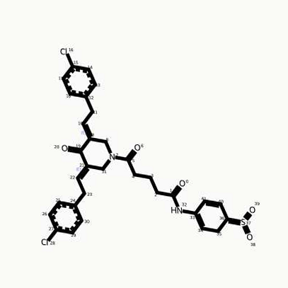 O=C(CCCC(=O)N1C/C(=C\Cc2ccc(Cl)cc2)C(=O)/C(=C/Cc2ccc(Cl)cc2)C1)NC1=CCC(=S(=O)=O)C=C1